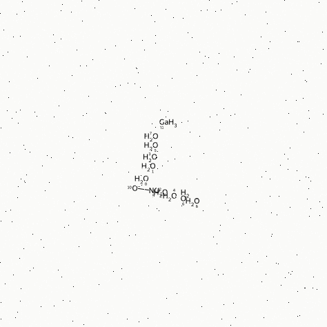 O.O.O.O.O.O.O.O.O.O=[N+]([O-])[O-].[GaH3]